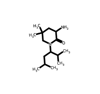 CC(C)CC(C(C)C)N1CC(C)(C)CC(N)C1=O